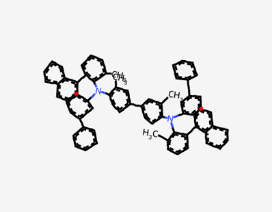 Cc1cc(-c2ccc(N(c3cccc(-c4ccccc4)c3)c3c(C)cccc3-c3cccc4ccccc34)c(C)c2)ccc1N(c1cccc(-c2ccccc2)c1)c1c(C)cccc1-c1cccc2ccccc12